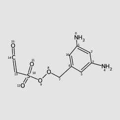 Nc1cc(N)cc(COOS(=O)(=O)C=C=O)c1